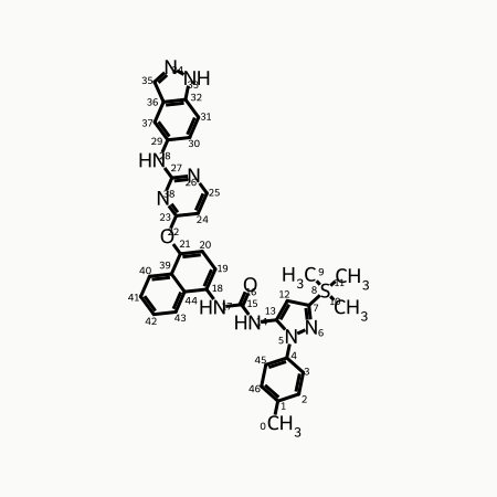 Cc1ccc(-n2nc(S(C)(C)C)cc2NC(=O)Nc2ccc(Oc3ccnc(Nc4ccc5[nH]ncc5c4)n3)c3ccccc23)cc1